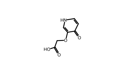 O=C(O)COc1c[nH]ccc1=O